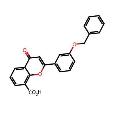 O=C(O)c1cccc2c(=O)cc(-c3cccc(OCc4ccccc4)c3)oc12